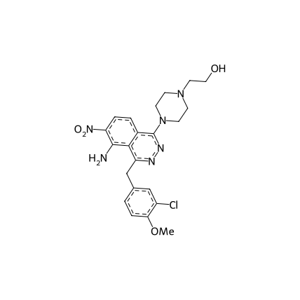 COc1ccc(Cc2nnc(N3CCN(CCO)CC3)c3ccc([N+](=O)[O-])c(N)c23)cc1Cl